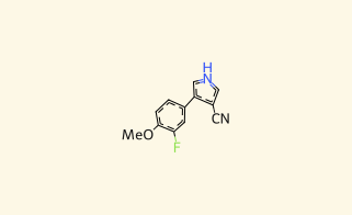 COc1ccc(-c2c[nH]cc2C#N)cc1F